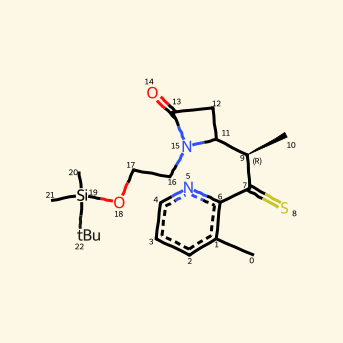 Cc1cccnc1C(=S)[C@H](C)C1CC(=O)N1CCO[Si](C)(C)C(C)(C)C